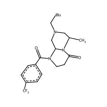 CCC(C)CN1CC(C)N2C(=O)CCN(C(=O)c3ccc(C(F)(F)F)cc3)C2C1